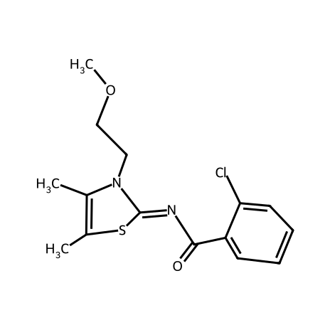 COCCn1c(C)c(C)s/c1=N\C(=O)c1ccccc1Cl